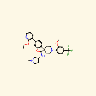 CCOc1ncccc1-c1ccc(C2(C(=O)N[C@@H]3CCN(C)C3)CCN(c3ccc(C(F)(F)F)cc3OC)CC2)cc1